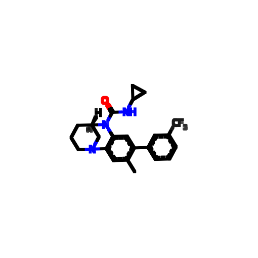 Cc1cc2c(cc1-c1cccc(C(F)(F)F)c1)N(C(=O)NC1CC1)[C@H]1CCCN2C1